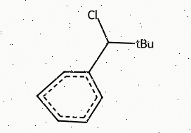 CC(C)(C)C(Cl)c1ccccc1